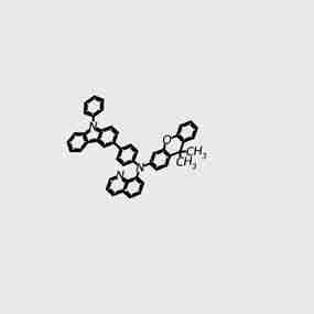 CC1(C)c2ccccc2Oc2cc(N(c3ccc(-c4ccc5c(c4)c4ccccc4n5-c4ccccc4)cc3)c3cccc4cccnc34)ccc21